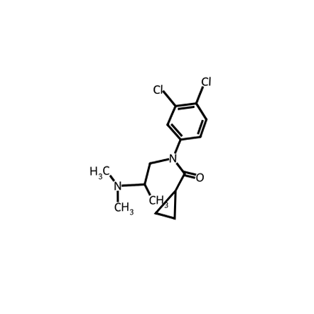 CC(CN(C(=O)C1CC1)c1ccc(Cl)c(Cl)c1)N(C)C